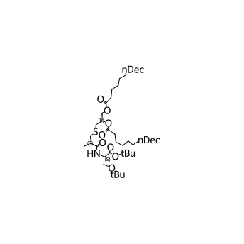 CCCCCCCCCCCCCCCC(=O)OC[C@H](CSC[C@H](C)C(=O)N[C@@H](COC(C)(C)C)C(=O)OC(C)(C)C)OC(=O)CCCCCCCCCCCCCCC